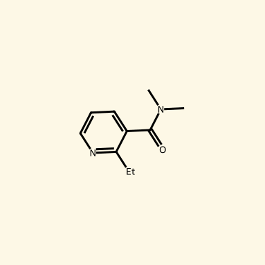 CCc1ncccc1C(=O)N(C)C